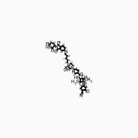 CC1(C)C(NC(=O)c2ccc(N3CCN(CCCCCOc4ccc5c(c4)C(=O)N(C4CCC(=O)NC4=O)C5=O)[C@H](CO)C3)nc2)C(C)(C)C1Oc1ccc(C#N)c(Cl)c1